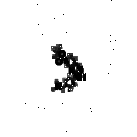 CN(C)Cc1ccc(Nc2ncc3c(n2)CN(C(=O)OC(C)(C)C)CC3)cc1